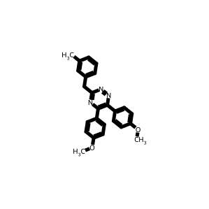 COc1ccc(-c2nnc(Cc3cccc(C)c3)nc2-c2ccc(OC)cc2)cc1